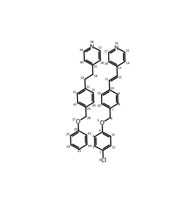 Clc1ccc(OCc2ccc(C=Cc3ccncc3)cc2)cc1.c1ccc(OCc2ccc(CCc3ccncc3)cc2)cc1